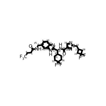 C[C@@H](NC(=O)CCC(F)(F)F)c1ccc2nc([C@@H](NC(=O)c3cnn(CC4CC(F)(F)C4)n3)C3CCC(F)(F)CC3)[nH]c2c1